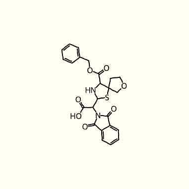 O=C(O)C(C1NC(C(=O)OCc2ccccc2)C2(CCOC2)S1)N1C(=O)c2ccccc2C1=O